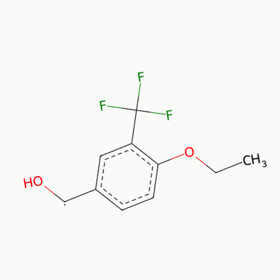 CCOc1ccc([CH]O)cc1C(F)(F)F